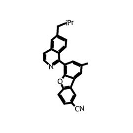 Cc1cc(-c2nccc3cc(CC(C)C)ccc23)c2oc3ccc(C#N)cc3c2c1